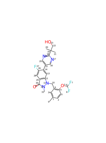 Cc1ccc(OC(F)F)c(Cn2c3cc(-c4cnc(C(C)(C)CO)nc4)c(F)cc3c(=O)n2C)c1